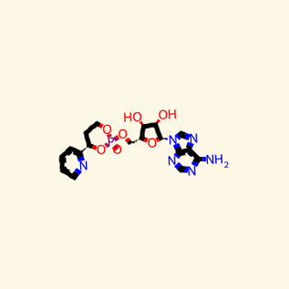 Nc1ncnc2c1ncn2[C@@H]1O[C@H](COP2(=O)OCC[C@@H](c3ccccn3)O2)[C@@H](O)[C@H]1O